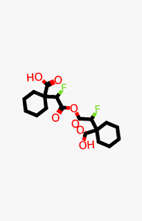 O=C(OC(=O)C(F)C1(C(=O)O)CCCCC1)C(F)C1(C(=O)O)CCCCC1